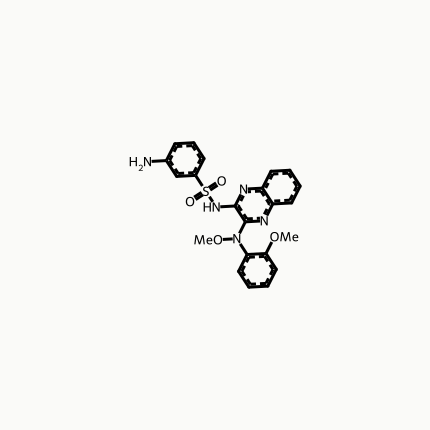 COc1ccccc1N(OC)c1nc2ccccc2nc1NS(=O)(=O)c1cccc(N)c1